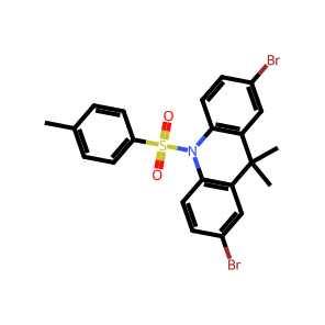 Cc1ccc(S(=O)(=O)N2c3ccc(Br)cc3C(C)(C)c3cc(Br)ccc32)cc1